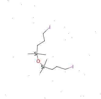 C[Si](C)(CCCI)O[Si](C)(C)CCCI